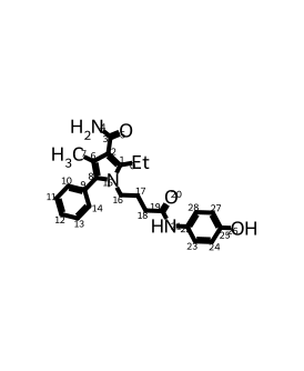 CCc1c(C(N)=O)c(C)c(-c2ccccc2)n1CCCC(=O)Nc1ccc(O)cc1